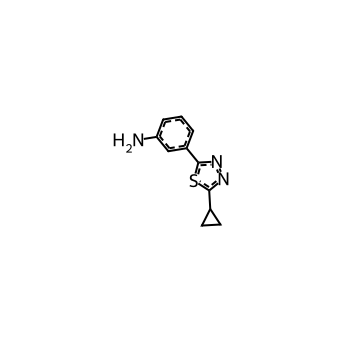 Nc1cccc(-c2nnc(C3CC3)s2)c1